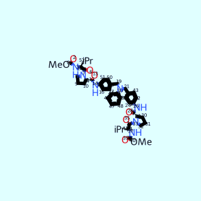 COC(=O)N[C@H](C(=O)N1CCC[C@H]1C(=O)Nc1ccc(CN(Cc2ccc(NC(=O)[C@@H]3CCCN3C(=O)[C@@H](NC(=O)OC)C(C)C)cc2)c2ccccc2)cc1)C(C)C